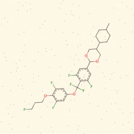 CC1CCC(C2COC(c3cc(F)c(C(F)(F)Oc4cc(F)c(OCCCF)c(F)c4)c(F)c3)OC2)CC1